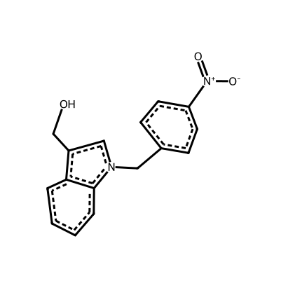 O=[N+]([O-])c1ccc(Cn2cc(CO)c3ccccc32)cc1